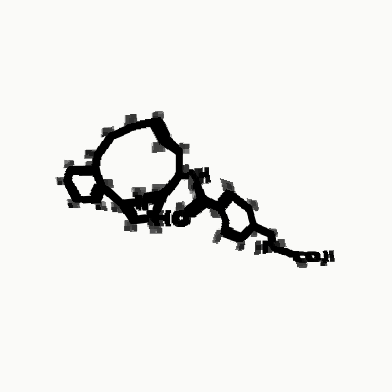 O=C(O)NCC1CCC(C(=O)N[C@H]2C/C=C/CCCc3ccccc3-c3c[nH]c2n3)CC1